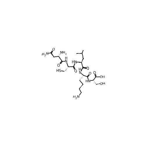 CC(C)C[C@H](NC(=O)[C@H](CS)NC(=O)[C@@H](N)CC(N)=O)C(=O)N[C@@H](CCCCN)C(=O)N[C@@H](CO)C(=O)O